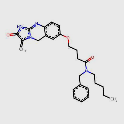 C=c1c(=O)[nH]c2n1Cc1cc(OCCCC(=O)N(CCCCC)Cc3ccccc3)ccc1N=2